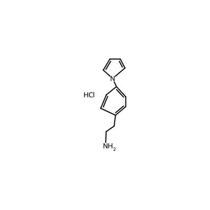 Cl.NCCc1ccc(-n2cccc2)cc1